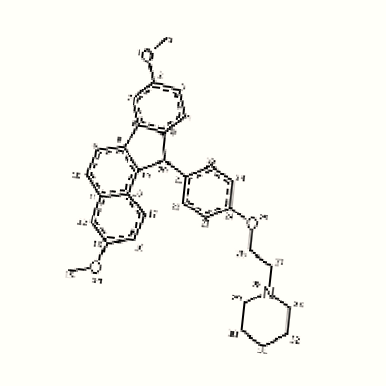 COc1ccc2c(c1)-c1ccc3cc(OC)ccc3c1C2c1ccc(OCCN2CCCCC2)cc1